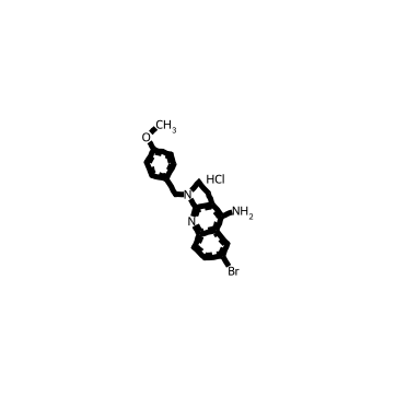 COc1ccc(CN2CCc3c2nc2ccc(Br)cc2c3N)cc1.Cl